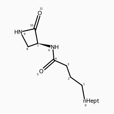 CCCCCCCCCCC(=O)N[C@H]1CNC1=O